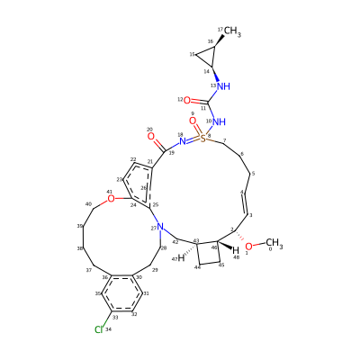 CO[C@H]1/C=C/CCCS(=O)(NC(=O)N[C@H]2C[C@H]2C)=NC(=O)c2ccc3c(c2)N(CCc2ccc(Cl)cc2CCCCO3)C[C@@H]2CC[C@H]21